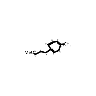 COCCCC1=CCC(C)=CC=C1